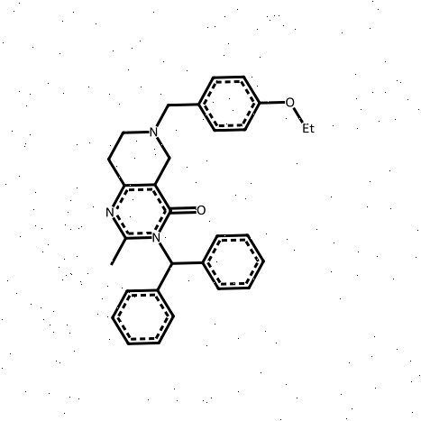 CCOc1ccc(CN2CCc3nc(C)n(C(c4ccccc4)c4ccccc4)c(=O)c3C2)cc1